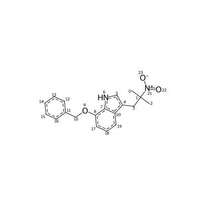 CC(C)(Cc1c[nH]c2c(OCc3ccccc3)cccc12)[N+](=O)[O-]